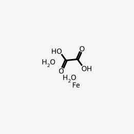 O.O.O=C(O)C(=O)O.[Fe]